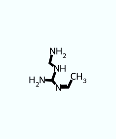 C/C=N\C(N)NCN